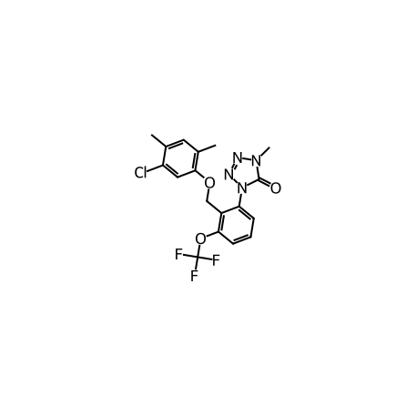 Cc1cc(C)c(OCc2c(OC(F)(F)F)cccc2-n2nnn(C)c2=O)cc1Cl